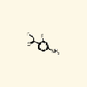 Nc1ccc(C(=O)CF)c(F)c1